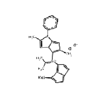 CSC1=CC=C2C=C[C]([Zr+2]([C]3=C(C)C=C4C3C=C(C)P4c3ccccc3)=[C](C)C)=C21.[Cl-].[Cl-]